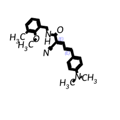 COc1c(C)cccc1CNC(=O)/C(C#N)=C/C=C/c1ccc(N(C)C)cc1